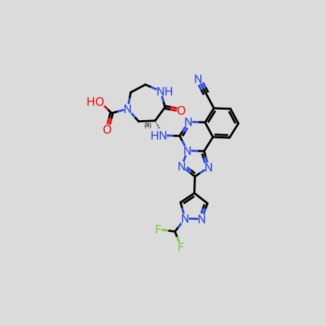 N#Cc1cccc2c1nc(N[C@@H]1CN(C(=O)O)CCNC1=O)n1nc(-c3cnn(C(F)F)c3)nc21